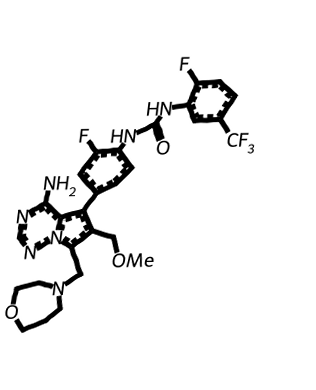 COCc1c(-c2ccc(NC(=O)Nc3cc(C(F)(F)F)ccc3F)c(F)c2)c2c(N)ncnn2c1CN1CCCOCC1